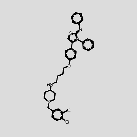 Clc1ccc(CN2CCC(NCCCCOc3ccc(-c4csc(=Nc5ccccc5)n4-c4ccccc4)cc3)CC2)cc1Cl